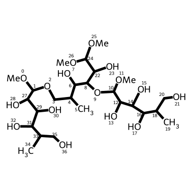 COC(OCC(C)C(O)C(OC(OC)C(O)C(O)C(O)C(C)CO)C(O)C(OC)OC)C(O)C(O)C(O)C(C)CO